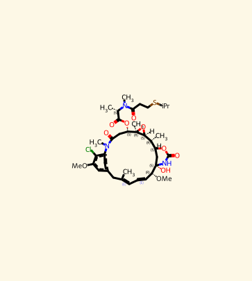 COc1cc2cc(c1Cl)N(C)C(=O)C[C@H](OC(=O)[C@H](C)N(C)C(=O)CCSC(C)C)[C@@]1(C)O[C@H]1[C@H](C)[C@@H]1C[C@@](O)(NC(=O)O1)[C@H](OC)/C=C/C=C(\C)C2